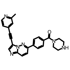 Cc1cc(C#Cc2cnc3ccc(-c4ccc(C(=O)N5CCNCC5)cc4)nn23)ccn1